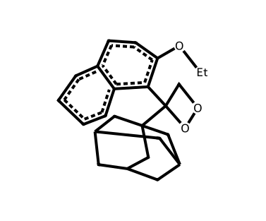 CCOc1ccc2ccccc2c1C1(C23CC4CC(CC(C4)C2)C3)COO1